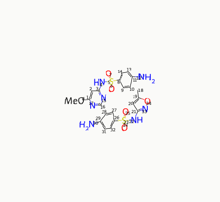 COc1cc(NS(=O)(=O)c2ccc(N)cc2)ncn1.Cc1cc(NS(=O)(=O)c2ccc(N)cc2)no1